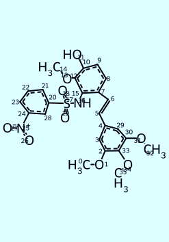 COc1cc(C=Cc2ccc(O)c(OC)c2NS(=O)(=O)c2cccc([N+](=O)[O-])c2)cc(OC)c1OC